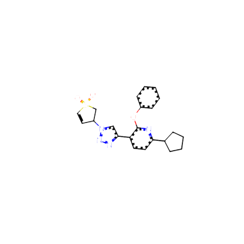 O=S1(=O)C=CC(n2cc(-c3ccc(C4CCCC4)nc3Oc3ccccc3)nn2)C1